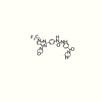 C[C@@H]1CN(C(=O)c2ccc(NC(=O)Nc3ccc(-c4nc(N5CCOCC5)c5ccn(CC(F)(F)F)c5n4)cc3)cc2)CCN1C